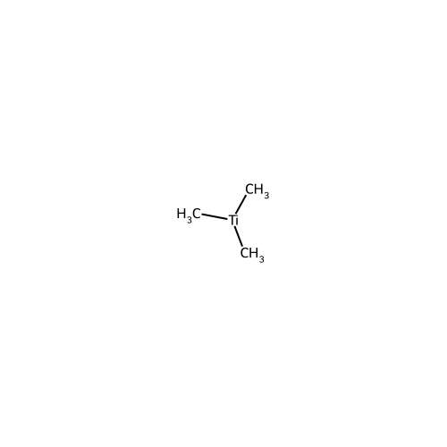 [CH3][Ti]([CH3])[CH3]